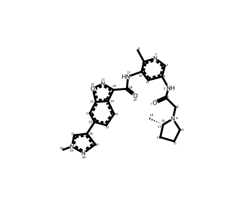 Cc1ncc(NC(=O)CN2CCC[C@@H]2C)cc1NC(=O)c1noc2cc(-c3cnn(C)c3)ccc12